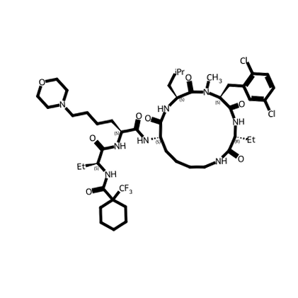 CC[C@H](NC(=O)C1(C(F)(F)F)CCCCC1)C(=O)N[C@@H](CCCCN1CCOCC1)C(=O)N[C@H]1CCCCNC(=O)[C@@H](CC)NC(=O)[C@H](Cc2cc(Cl)ccc2Cl)N(C)C(=O)[C@H](CC(C)C)NC1=O